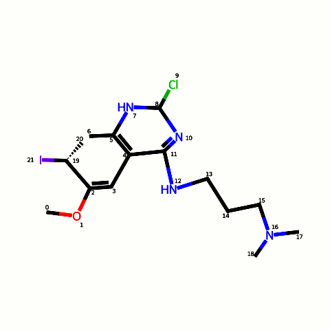 CO/C(=C/C1=C(C)NC(Cl)N=C1NCCCN(C)C)[C@@H](C)I